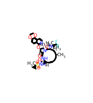 CC[C@@H]1C[C@@H](C)CCC=C[C@@H]2C[C@@]2(C(=O)NS(=O)(=O)C2(C)CC2)NC(=O)[C@@H]2C[C@@H](Oc3nccc4c5c(ccc34)OCCO5)CN2C(=O)[C@H]1N(C(=O)O)C(C)(C)C(F)F